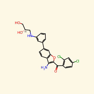 Nc1c(C(=O)c2ccc(Cl)cc2Cl)oc2cc(-c3cccc(NC[C@H](O)CO)c3)ccc12